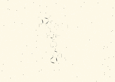 O=C(O)C[C@H](NC(=O)C1CCN(C(=O)Oc2ccccc2Cl)CC1)C(=O)COc1c(F)c(F)cc(F)c1F